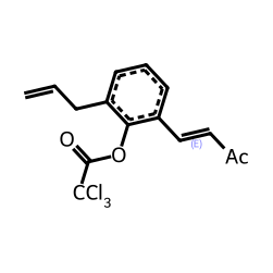 C=CCc1cccc(/C=C/C(C)=O)c1OC(=O)C(Cl)(Cl)Cl